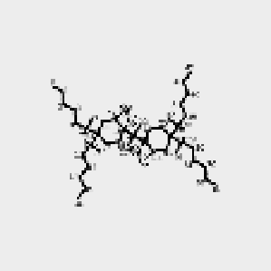 CCCCCC(C)(C)C1(C(C)(C)CCCCC)CCC2(C(C)(C)C34CCC(C(C)(C)CCCCC)(C(C)(C)CCCCC)CC3OO4)OOC2C1